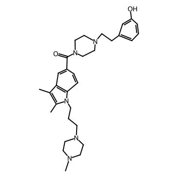 Cc1c(C)n(CCCN2CCN(C)CC2)c2ccc(C(=O)N3CCN(CCc4cccc(O)c4)CC3)cc12